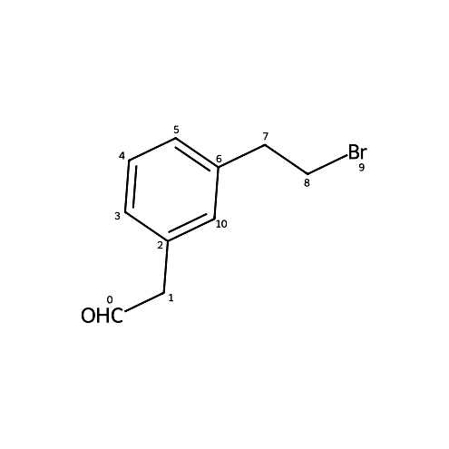 O=CCc1cccc(CCBr)c1